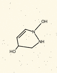 OC1C=CN(O)NC1